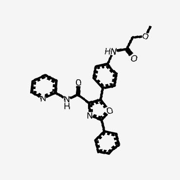 COCC(=O)Nc1ccc(-c2oc(-c3ccccc3)nc2C(=O)Nc2ccccn2)cc1